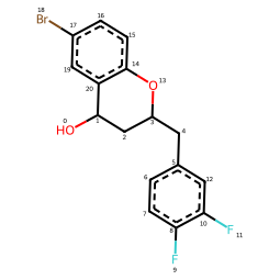 OC1CC(Cc2ccc(F)c(F)c2)Oc2ccc(Br)cc21